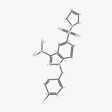 CCN(CC)c1nn(Cc2ccc(F)cc2)c2ccc(S(=O)(=O)N3CC=CC3)cc12